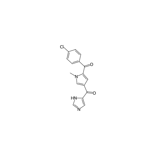 Cn1cc(C(=O)c2cnc[nH]2)cc1C(=O)c1ccc(Cl)cc1